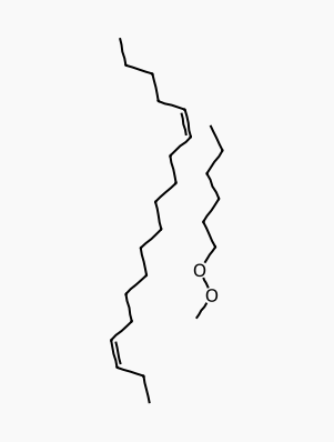 CC/C=C\CCCCCCCC/C=C\CCCC.CCCCCCOOC